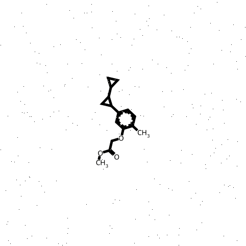 COC(=O)COc1cc(C2CC2C2CC2)ccc1C